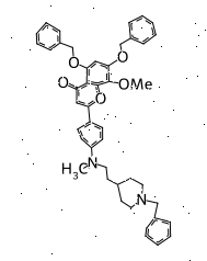 COc1c(OCc2ccccc2)cc(OCc2ccccc2)c2c(=O)cc(-c3ccc(N(C)CCC4CCN(Cc5ccccc5)CC4)cc3)oc12